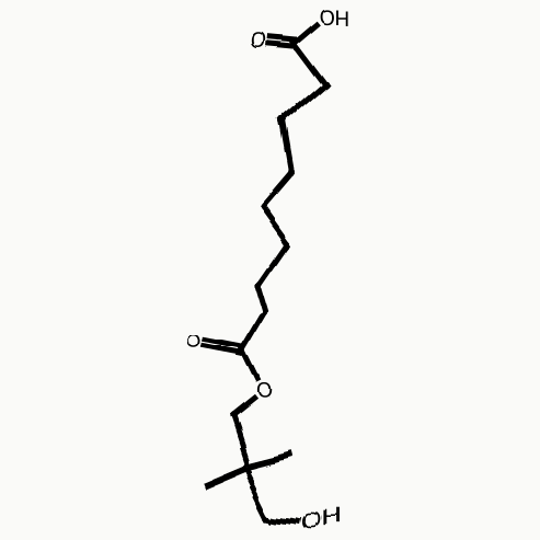 CC(C)(CO)COC(=O)CCCCCCCC(=O)O